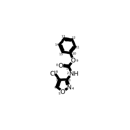 O=C(Nc1nocc1Cl)Oc1ccccc1